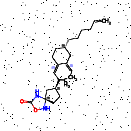 C=CCCCC[C@H]1CCC(=C/C(=C)[C@H]2CC[C@@]3(C2)NOC(=O)N3)/C(=C\C)C1